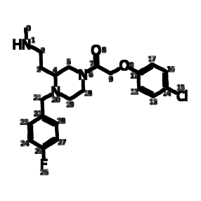 CNCCC1CN(C(=O)COc2ccc(Cl)cc2)CCN1Cc1ccc(F)cc1